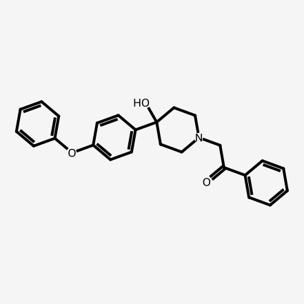 O=C(CN1CCC(O)(c2ccc(Oc3ccccc3)cc2)CC1)c1ccccc1